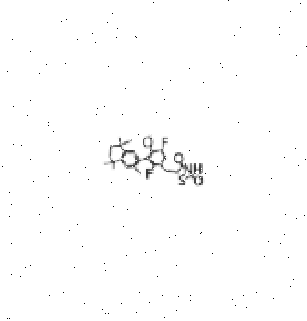 COc1c(F)cc(C=C2SC(=O)NC2=O)c(F)c1-c1cc2c(cc1C)C(C)(C)C=CC2(C)C